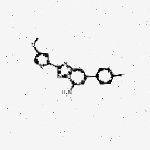 COc1csc(-c2nc3cc(-c4ccc(F)cc4)cc(N)n3n2)c1